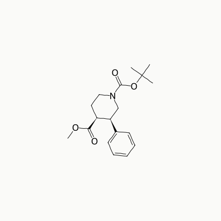 COC(=O)[C@H]1CCN(C(=O)OC(C)(C)C)C[C@H]1c1ccccc1